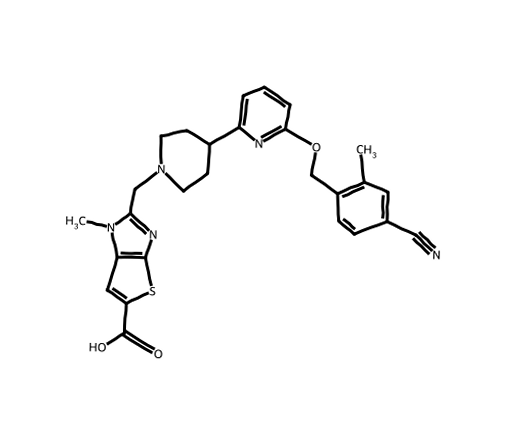 Cc1cc(C#N)ccc1COc1cccc(C2CCN(Cc3nc4sc(C(=O)O)cc4n3C)CC2)n1